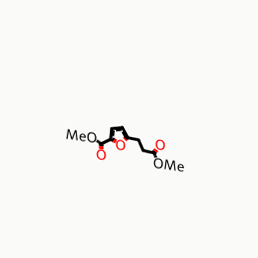 COC(=O)CCc1ccc(C(=O)OC)o1